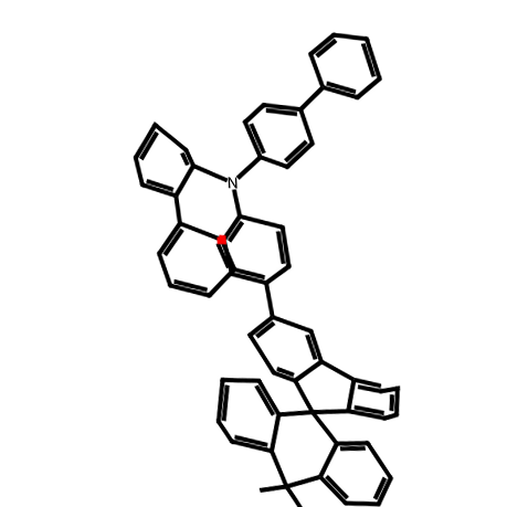 CC1(C)c2ccccc2C2(c3ccccc3-c3cc(-c4ccc(N(c5ccc(-c6ccccc6)cc5)c5ccccc5-c5ccccc5)cc4)ccc32)c2ccccc21